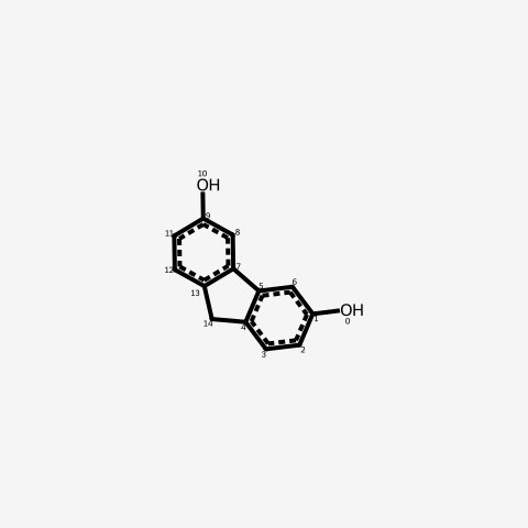 Oc1ccc2c(c1)-c1cc(O)ccc1C2